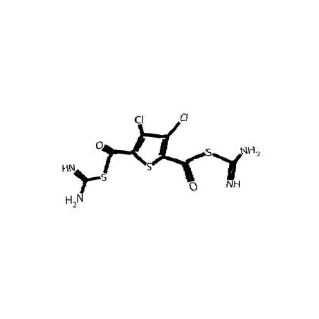 N=C(N)SC(=O)c1sc(C(=O)SC(=N)N)c(Cl)c1Cl